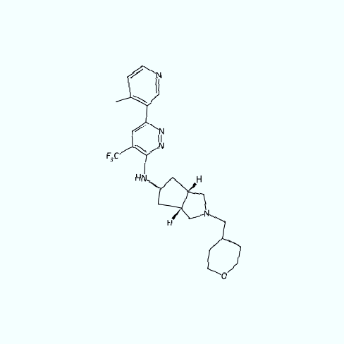 Cc1ccncc1-c1cc(C(F)(F)F)c(NC2C[C@@H]3CN(CC4CCOCC4)C[C@@H]3C2)nn1